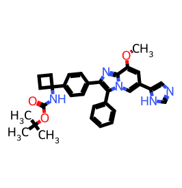 COc1cc(-c2cnc[nH]2)cn2c(-c3ccccc3)c(-c3ccc(C4(NC(=O)OC(C)(C)C)CCC4)cc3)nc12